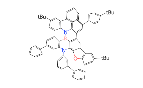 CC(C)(C)c1ccc(-c2ccc3c(c2)-c2cc4c(oc5ccc(C(C)(C)C)cc54)c4c2B(c2ccc(-c5ccccc5)cc2N4c2cccc(-c4ccccc4)c2)N3c2ccc(C(C)(C)C)cc2-c2ccccc2)cc1